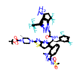 C[C@@H]1CN(c2nc3nc([C@H](Cc4cc(F)cc(F)c4)NC(=O)Cn4nc(C(F)(F)F)c5c4C(F)(F)C[C@@H]5N)c(-c4cccc5c(NS(C)(=O)=O)nn(C)c45)cc3s2)CCN1C(=O)OC(C)(C)C